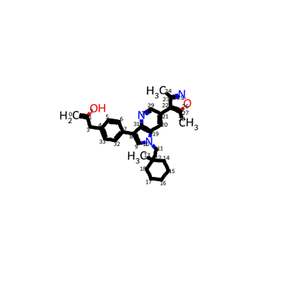 C=C(O)Cc1ccc(-c2cn(CC3(C)CCCCC3)c3cc(-c4c(C)noc4C)cnc23)cc1